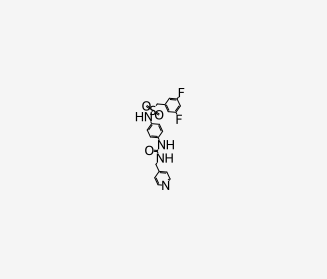 O=C(NCc1ccncc1)Nc1ccc(NS(=O)(=O)Cc2cc(F)cc(F)c2)cc1